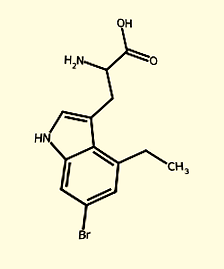 CCc1cc(Br)cc2[nH]cc(CC(N)C(=O)O)c12